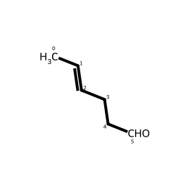 CC=CCCC=O